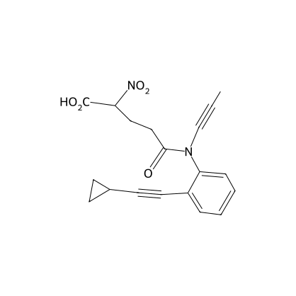 CC#CN(C(=O)CCC(C(=O)O)[N+](=O)[O-])c1ccccc1C#CC1CC1